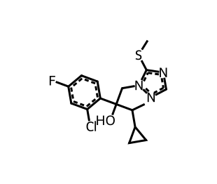 CSc1ncnn1CC(O)(c1ccc(F)cc1Cl)C(C)C1CC1